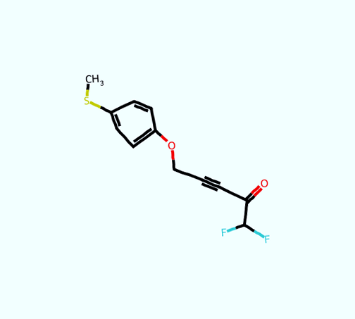 CSc1ccc(OCC#CC(=O)C(F)F)cc1